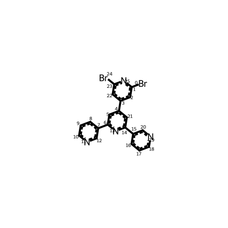 Brc1cc(-c2cc(-c3cccnc3)nc(-c3cccnc3)c2)cc(Br)n1